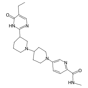 CCc1cnc(C2CCCN(C3CCN(c4ccc(C(=O)NC)nc4)CC3)C2)[nH]c1=O